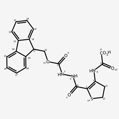 O=C(NNC(=O)C1=C(NC(=O)C(=O)O)CCS1)OCC1c2ccccc2-c2ccccc21